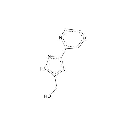 OCc1nc(-c2ccccn2)n[nH]1